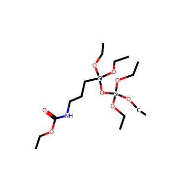 CCOC(=O)NCCC[Si](OCC)(OCC)O[Si](OCC)(OCC)OCC